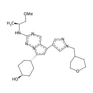 COC[C@H](C)Nc1ncc2c(-c3cnn(CC4CCOCC4)c3)cc([C@H]3CC[C@H](O)CC3)n2n1